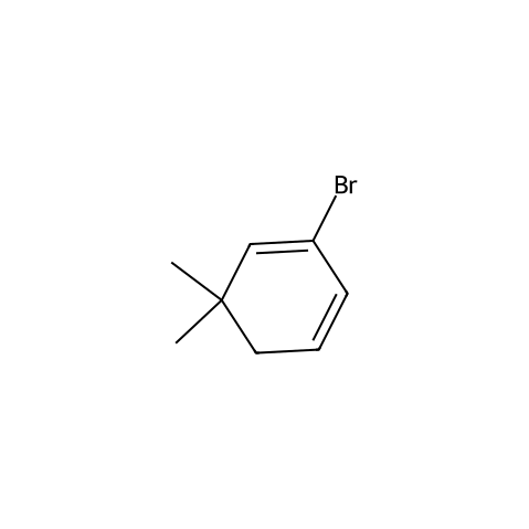 CC1(C)C=C(Br)C=CC1